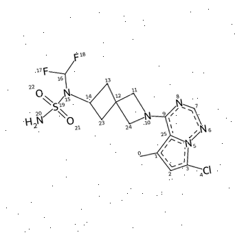 Cc1cc(Cl)n2ncnc(N3CC4(CC(N(C(F)F)S(N)(=O)=O)C4)C3)c12